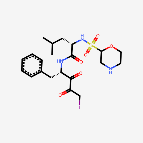 CC(C)C[C@H](NS(=O)(=O)C1CNCCO1)C(=O)N[C@@H](Cc1ccccc1)C(=O)C(=O)CI